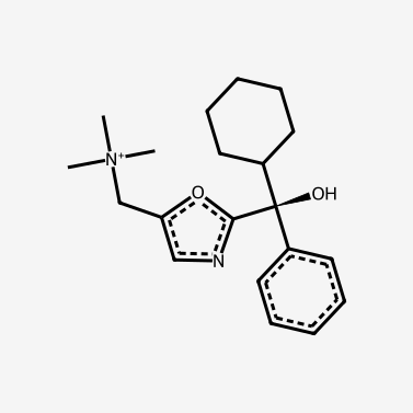 C[N+](C)(C)Cc1cnc([C@@](O)(c2ccccc2)C2CCCCC2)o1